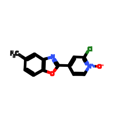 [O-][n+]1ccc(-c2nc3cc(C(F)(F)F)ccc3o2)cc1Cl